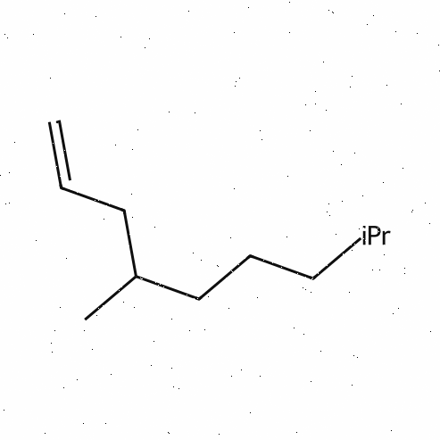 [CH]=CCC(C)CCCC(C)C